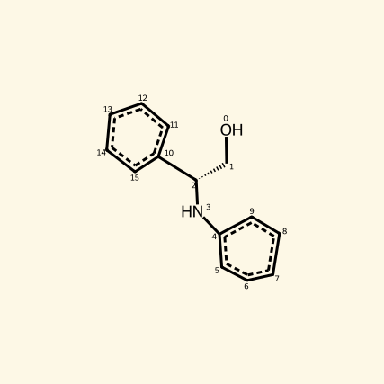 OC[C@H](Nc1ccccc1)c1ccccc1